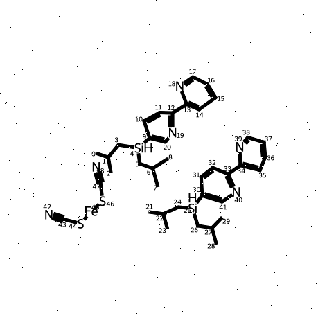 CC(C)C[SiH](CC(C)C)c1ccc(-c2ccccn2)nc1.CC(C)C[SiH](CC(C)C)c1ccc(-c2ccccn2)nc1.N#C[S][Fe][S]C#N